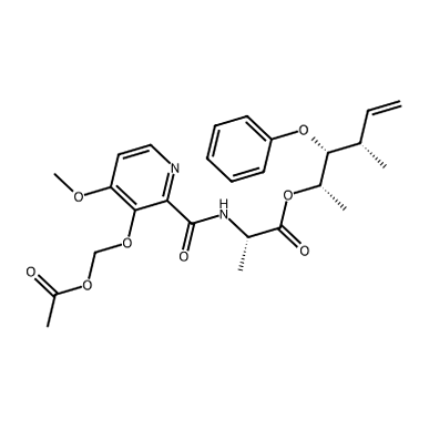 C=C[C@H](C)[C@@H](Oc1ccccc1)[C@H](C)OC(=O)[C@H](C)NC(=O)c1nccc(OC)c1OCOC(C)=O